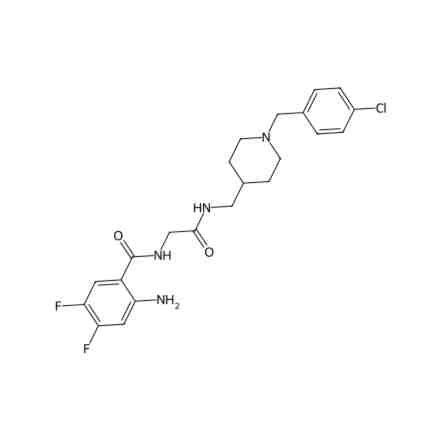 Nc1cc(F)c(F)cc1C(=O)NCC(=O)NCC1CCN(Cc2ccc(Cl)cc2)CC1